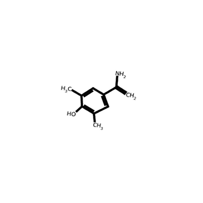 C=C(N)c1cc(C)c(O)c(C)c1